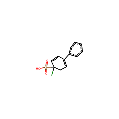 O=S(=O)(O)C1(F)C=CC(c2ccccc2)=CC1